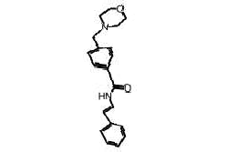 O=C(NC=Cc1ccccc1)c1ccc(CN2CCOCC2)cc1